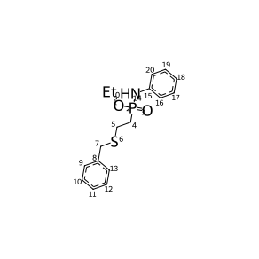 CCOP(=O)(CCSCc1ccccc1)Nc1ccccc1